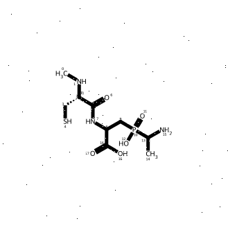 CN[C@@H](CS)C(=O)NC(CP(=O)(O)C(C)N)C(=O)O